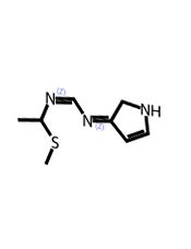 CSC(C)/N=C\N=C1\C=CNC1